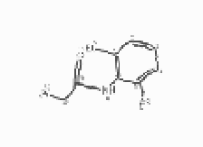 CCc1cccc(CC)c1NC(=O)CC(C)C